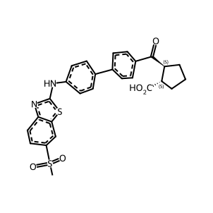 CS(=O)(=O)c1ccc2nc(Nc3ccc(-c4ccc(C(=O)[C@H]5CCC[C@@H]5C(=O)O)cc4)cc3)sc2c1